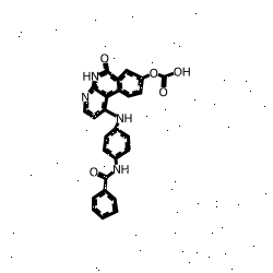 O=C(O)Oc1ccc2c(c1)c(=O)[nH]c1nccc(Nc3ccc(NC(=O)c4ccccc4)cc3)c12